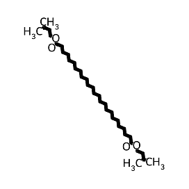 CC(C)CCOC(=O)CCCCCCCCCCCCCCCCCCCCCCCC(=O)OCCC(C)C